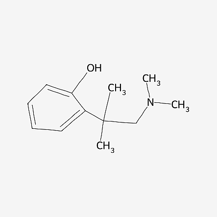 CN(C)CC(C)(C)c1ccccc1O